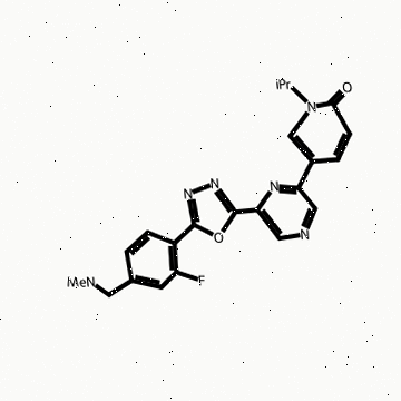 CNCc1ccc(-c2nnc(-c3cncc(-c4ccc(=O)n(C(C)C)c4)n3)o2)c(F)c1